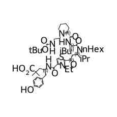 CCCCCCN(C(=O)[C@@H](NC(=O)[C@H]1CCCCN1CCNC(=O)OC(C)(C)C)[C@@H](C)CC)[C@H](C[C@@H](OCC)c1nc(C(=O)N[C@@H](Cc2ccc(O)cc2)CC(C)(C)C(=O)O)cs1)C(C)C